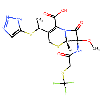 CO[C@@]1(NC(=O)CSC(F)(F)F)C(=O)N2C(C(=O)O)=C(C(C)Sc3cnn[nH]3)CS[C@H]21